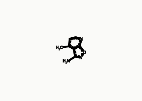 Cc1ccnc2onc(N)c12